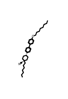 CCCCCCCCOc1ccc(-c2ccc([C@H]3CC[C@@](C#N)(CCCCCCC)CC3)cc2)cc1